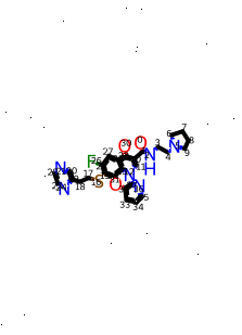 O=C(NCCN1CCCC1)c1cn2c3c(c(SCCc4cnccn4)c(F)cc3c1=O)Oc1cccnc1-2